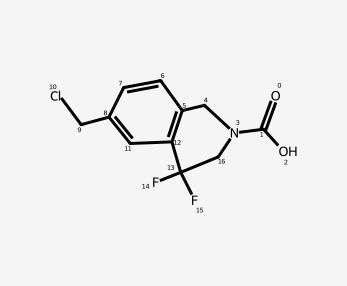 O=C(O)N1Cc2ccc(CCl)cc2C(F)(F)C1